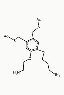 CC(=O)SCc1cc(CCCCN)c(OCCN)cc1CSC(C)=O